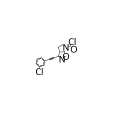 O=C(Cl)N1CCC2C(C#Cc3cccc(Cl)c3)=NOC21